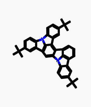 CC(C)(C)c1ccc2c(c1)c1cccc3c4c5c6cc(C(C)(C)C)ccc6n6c7ccc(C(C)(C)C)cc7c(cc4n2c13)c56